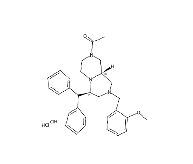 COc1ccccc1CN1C[C@H]2CN(C(C)=O)CCN2[C@H](C(c2ccccc2)c2ccccc2)C1.Cl.Cl